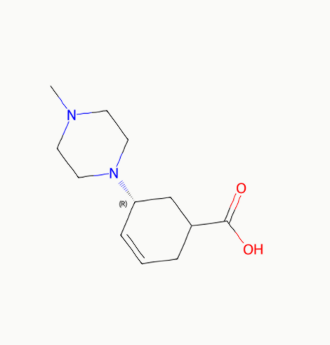 CN1CCN([C@H]2C=CCC(C(=O)O)C2)CC1